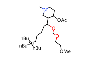 CCC[CH2][Sn]([CH2]CCC)([CH2]CCC)[CH2]CCCC(OCOCCOC)C1CN(C)CCC1OC(C)=O